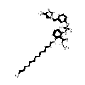 CCCCCCCCCCCCCCOc1cccc(OP(=O)(O)Oc2cccc(CN3C=C(C)SC3)c2)c1C(=O)OC